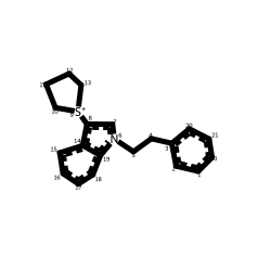 c1ccc(CCn2cc([S+]3CCCC3)c3ccccc32)cc1